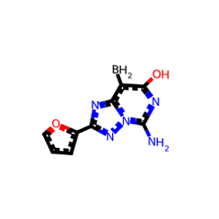 Bc1c(O)nc(N)n2nc(-c3ccco3)nc12